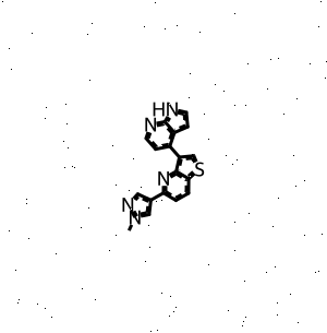 Cn1cc(-c2ccc3scc(-c4ccnc5[nH]ccc45)c3n2)cn1